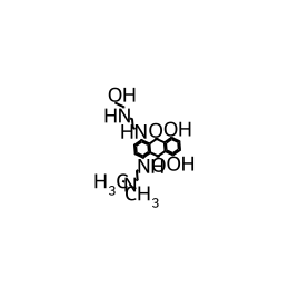 CN(C)CCNc1ccc(NCCNCCO)c2c1C(=O)c1c(O)ccc(O)c1C2=O